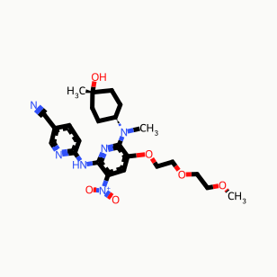 COCCOCCOc1cc([N+](=O)[O-])c(Nc2ccc(C#N)cn2)nc1N(C)[C@H]1CC[C@@](C)(O)CC1